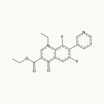 CCOC(=O)c1cn(CC)c2c(F)c(-c3cccnc3)c(F)cc2c1=O